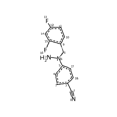 N#Cc1ccc(N(N)Cc2ccc(F)cc2F)cc1